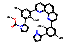 COc1c(-c2ccc3ccc4ccc(-c5cc(C(C)(C)C)cc(-c6cccn6C(=O)OC(C)(C)C)c5OC)nc4c3n2)cc(C(C)(C)C)cc1-c1ccc[nH]1